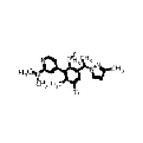 COc1c(C(C)n2ccc(C)n2)cc(Cl)c(C)c1-c1ccnc(N(C)C)c1